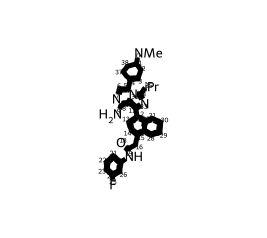 CNC1CC=C(c2cnc(N)c3c(-c4ccc(CC(=O)Nc5cccc(F)c5)c5ccccc45)nc(C(C)C)n23)CC1